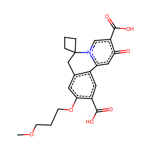 COCCCOc1cc2c(cc1C(=O)O)-c1cc(=O)c(C(=O)O)cn1C1(CCC1)C2